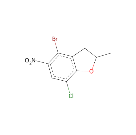 CC1Cc2c(Br)c([N+](=O)[O-])cc(Cl)c2O1